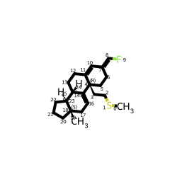 CSCC[C@]12CCC(=CF)C=C1CC[C@@H]1C2=CC[C@]2(C)CCC[C@@H]12